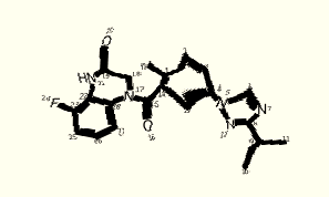 Cc1ccc(-n2cnc(C(C)C)n2)cc1C(=O)N1CC(=O)Nc2c(F)cccc21